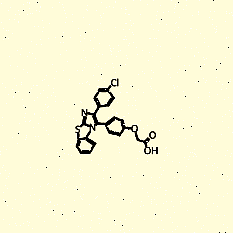 O=C(O)COc1ccc(-c2c(-c3ccc(Cl)cc3)nc3sc4ccccc4n23)cc1